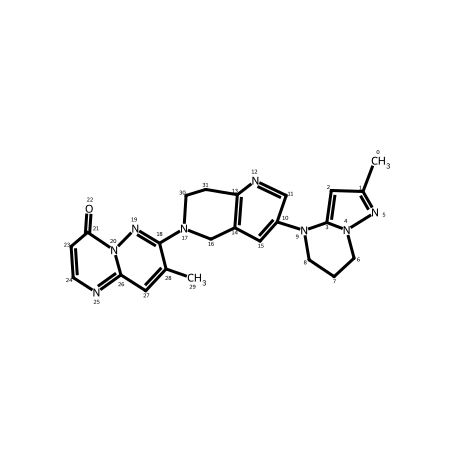 Cc1cc2n(n1)CCCN2c1cnc2c(c1)CN(c1nn3c(=O)ccnc3cc1C)CC2